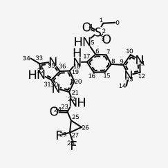 CCS(=O)(=O)Nc1cc(-c2cncn2C)ccc1Nc1cc(NC(=O)C2CC2(F)F)nc2[nH]c(C)nc12